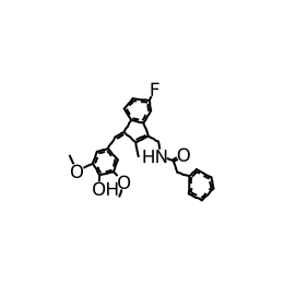 COc1cc(C=C2C(C)=C(CNC(=O)Cc3ccccc3)c3cc(F)ccc32)cc(OC)c1O